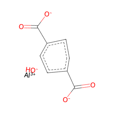 O=C([O-])c1ccc(C(=O)[O-])cc1.[Al+3].[OH-]